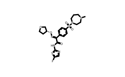 CN1CCCN(S(=O)(=O)c2ccc(/C(=N\O[C@@H]3CCOC3)C(=O)Nc3ncc(F)s3)cc2)CC1